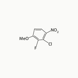 COc1ccc([N+](=O)[O-])c(Cl)c1F